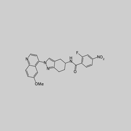 COc1ccc2nccc(-n3cc4c(n3)CCC(NC(=O)c3ccc([N+](=O)[O-])cc3F)C4)c2c1